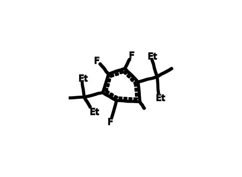 CCC(C)(CC)c1c(C)c(F)c(C(C)(CC)CC)c(F)c1F